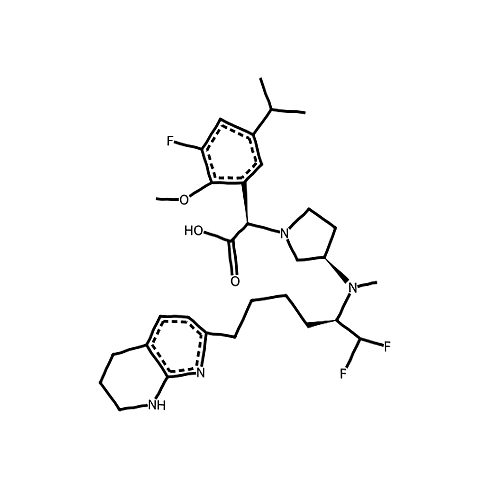 COc1c(F)cc(C(C)C)cc1[C@H](C(=O)O)N1CC[C@@H](N(C)[C@H](CCCCc2ccc3c(n2)NCCC3)C(F)F)C1